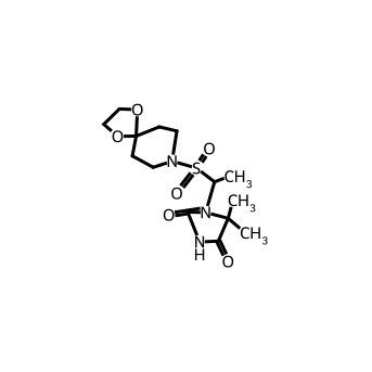 CC(N1C(=O)NC(=O)C1(C)C)S(=O)(=O)N1CCC2(CC1)OCCO2